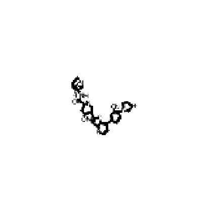 COc1cc(C(=O)N[C@@H]2CN3CCC2CC3)ncc1-c1cc2nccc(-c3ccc(N4CC[C@H](F)C4)c(C#N)c3)c2o1